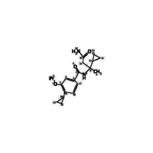 CC(C)Oc1cc(C(=O)NC(C)(CC(N)=O)C2CC2)ccc1C1CC1